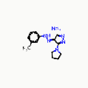 FC(F)(F)c1cccc(NN=C2C=NN=C2N2CCCC2)c1.N